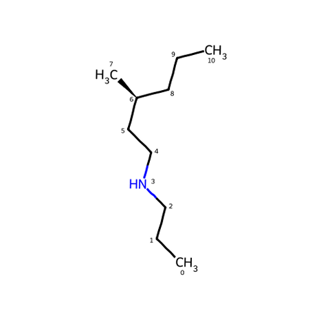 CCCNCC[C@@H](C)CCC